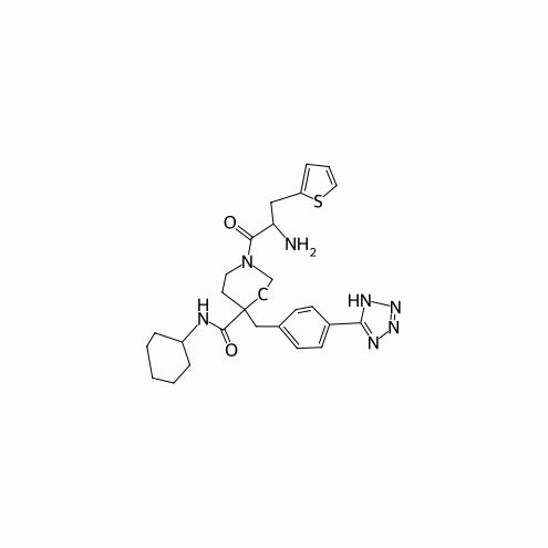 NC(Cc1cccs1)C(=O)N1CCC(Cc2ccc(-c3nnn[nH]3)cc2)(C(=O)NC2CCCCC2)CC1